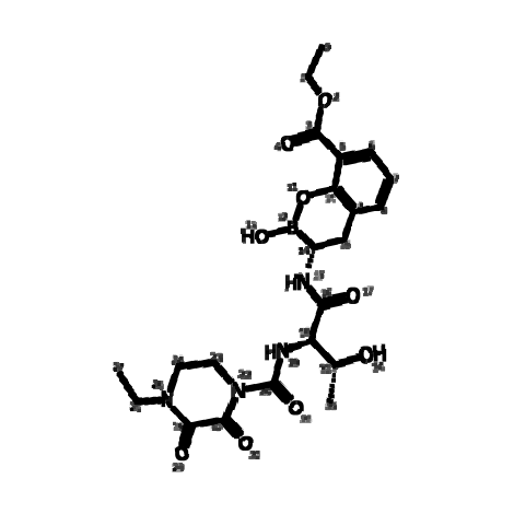 CCOC(=O)c1cccc2c1OB(O)[C@@H](NC(=O)[C@H](NC(=O)N1CCN(CC)C(=O)C1=O)[C@@H](C)O)C2